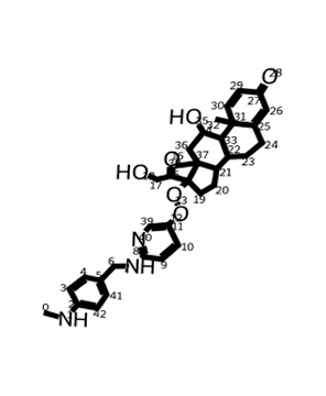 CNc1ccc(CNc2ccc(OOC3(C(=O)CO)CCC4C5CCC6=CC(=O)C=CC6(C)C5C(O)CC43C)cn2)cc1